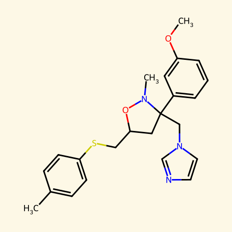 COc1cccc(C2(Cn3ccnc3)CC(CSc3ccc(C)cc3)ON2C)c1